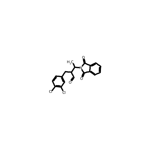 CC(C(C=O)Cc1ccc(Cl)c(Cl)c1)N1C(=O)c2ccccc2C1=O